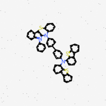 c1ccc(-n2c3c(c4ccccc42)Sc2ccccc2N3c2ccc(-c3ccc(N(c4cccc5c4sc4ccccc45)c4cccc5c4sc4ccccc45)cc3)cc2)cc1